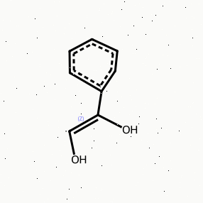 O/[C]=C(\O)c1ccccc1